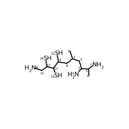 CC(CC(N)C(C)N)CC(S)C(S)C(S)CN